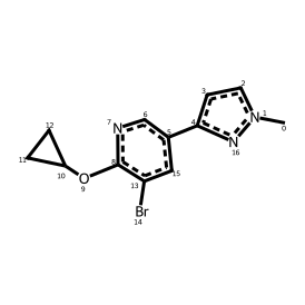 Cn1ccc(-c2cnc(OC3CC3)c(Br)c2)n1